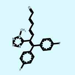 Cn1nnnc1C(/C=C/C=C/C=O)=C(c1ccc(F)cc1)c1ccc(F)cc1